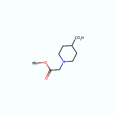 CC(C)(C)OC(=O)CN1CCC(C(=O)O)CC1